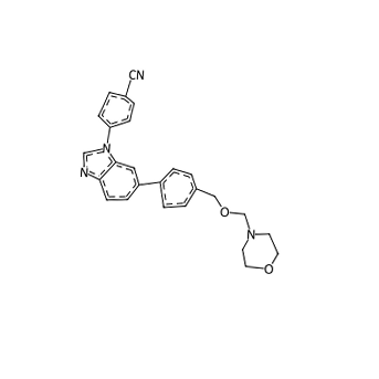 N#Cc1ccc(-n2cnc3ccc(-c4ccc(COCN5CCOCC5)cc4)cc32)cc1